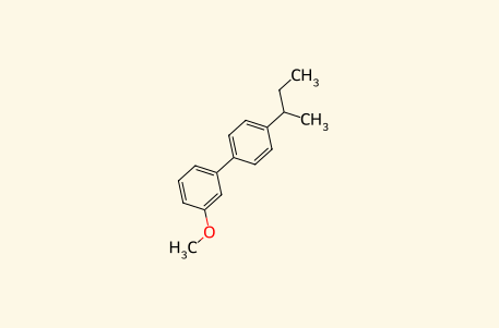 CCC(C)c1ccc(-c2cccc(OC)c2)cc1